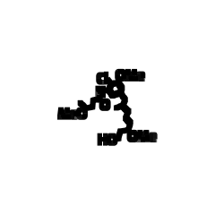 COc1cc(C/C(C)=C/C=C/[C@H](CCO)OC)cc(N(C)C(=O)CC[C@H](C)OC)c1Cl